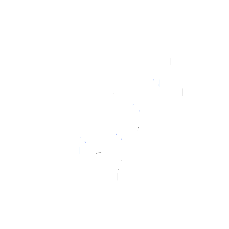 CN(C)c1nc(C(=O)N2[C@@H]3CC[C@@H](C3)[C@H]2CNC(=O)C(F)(F)F)c(-c2cccc(F)c2)s1